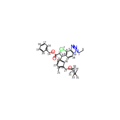 CCn1nnc2c(Cl)c(C(CC(=O)OCc3ccccc3)c3ccc(C)c(CO[Si](C)(C)C(C)(C)C)c3)ccc21